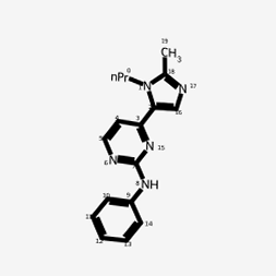 CCCn1c(-c2ccnc(Nc3ccccc3)n2)cnc1C